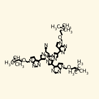 C[Si](C)(C)CCOCn1ccc2c(-c3cnn(C(CCC#N)(n4cc(-c5ncnc6c5ccn6COCC[Si](C)(C)C)cn4)n4cc(-c5ncnc6c5ccn6COCC[Si](C)(C)C)cn4)c3)ncnc21